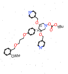 COc1ccccc1COCCCOc1ccc([C@H]2[C@@H](OCc3ccncc3)CN(OC(=O)OC(C)(C)C)C[C@H]2OCc2ccncc2)cc1